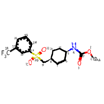 CC(C)(C)OC(=O)N[C@H]1CC[C@@H](CS(=O)(=O)c2cccc(C(F)(F)F)c2)CC1